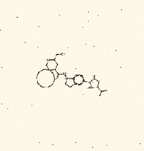 O=C(N[C@@H]1CCc2cc(C3NOC(C(F)F)N3)ccc21)C1CC(CO)NCC12CCCCCCCCC2